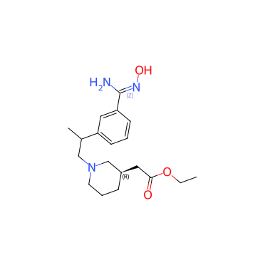 CCOC(=O)C[C@H]1CCCN(CC(C)c2cccc(/C(N)=N/O)c2)C1